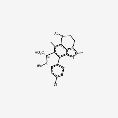 CC(=O)N1CCn2c(C)nc3c(-c4ccc(Cl)cc4)c([C@H](OC(C)(C)C)C(=O)O)c(C)c1c32